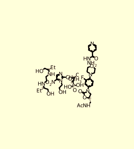 CC(=O)NC[C@H]1CN(c2ccc(N3CCOCC3)c(F)c2)C(=O)O1.CC[C@@H](CO)NCCN[C@@H](CC)CO.C[C@@H]1O[C@@H]1P(=O)(O)O.Cc1ncc([N+](=O)[O-])n1CCO.NNC(=O)c1ccncc1